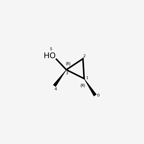 C[C@@H]1C[C@@]1(C)O